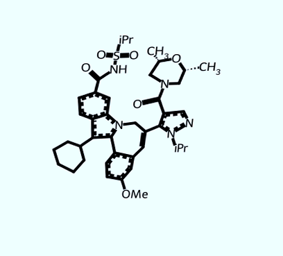 COc1ccc2c(c1)C=C(c1c(C(=O)N3C[C@@H](C)O[C@@H](C)C3)cnn1C(C)C)Cn1c-2c(C2CCCCC2)c2ccc(C(=O)NS(=O)(=O)C(C)C)cc21